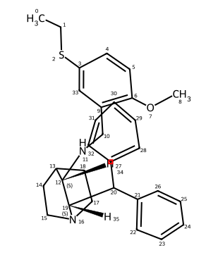 CCSc1ccc(OC)c(CN[C@H]2C3CCN(CC3)[C@H]2C(c2ccccc2)c2ccccc2)c1